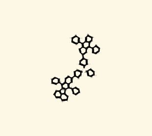 c1ccc(-c2c3c(c(-c4ccccc4)c4cc(-c5ccc(N(c6ccccc6)c6ccc(-c7ccc8c(-c9ccccc9)c9ccccc9c(-c9ccccc9)c8c7)cc6)cc5)ccc24)-c2cccc4cccc-3c24)cc1